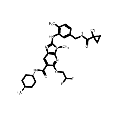 Cn1c(Nc2cc(CNC(=O)C3(C#N)CC3)ccc2C(F)(F)F)nc2cc(C(=O)N[C@H]3CC[C@H](C(F)(F)F)CC3)c(OCC(F)F)nc21